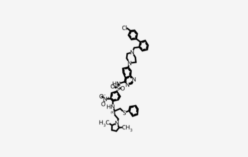 CC1CCC(C)N1CC[C@H](CSc1ccccc1)Nc1ccc(S(=O)(=O)Nc2ncnc3cc(N4CCN(Cc5ccccc5-c5ccc(Cl)cc5)CC4)ccc23)cc1[N+](=O)[O-]